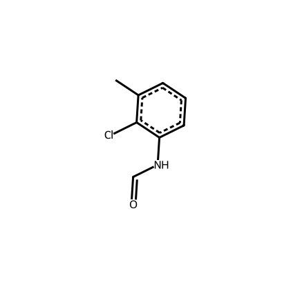 Cc1cccc(NC=O)c1Cl